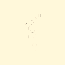 N#Cc1cc(CC(=O)O)ccc1-n1ccc2cc(C(=O)NCCc3ccc(Cl)c(Cl)c3)ccc21